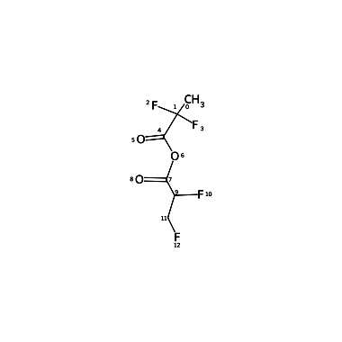 CC(F)(F)C(=O)OC(=O)C(F)CF